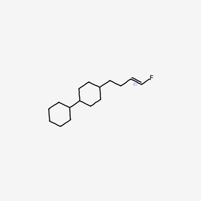 F/C=C/CCC1CCC(C2CCCCC2)CC1